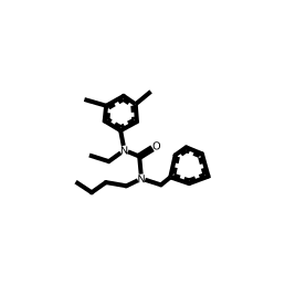 CCCCN(Cc1ccccc1)C(=O)N(CC)c1cc(C)cc(C)c1